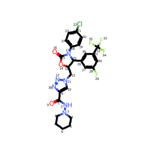 O=C(NN1CCCCC1)c1cn(CC2OC(=O)N(c3ccc(Cl)cc3)C2c2cc(F)cc(C(F)(F)F)c2)nn1